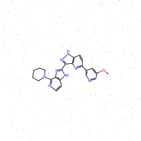 COc1cncc(-c2ccc3[nH]nc(-c4nc5c(N6CCCCC6)nccc5[nH]4)c3n2)c1